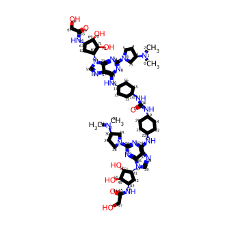 CN(C)[C@@H]1CCN(c2nc(N[C@H]3CC[C@H](NC(=O)N[C@H]4CC[C@H](Nc5nc(N6CC[C@@H](N(C)C)C6)nc6c5ncn6[C@@H]5C[C@H](NC(=O)CO)[C@@H](O)[C@H]5O)CC4)CC3)c3ncn([C@@H]4C[C@H](NC(=O)CO)[C@@H](O)[C@H]4O)c3n2)C1